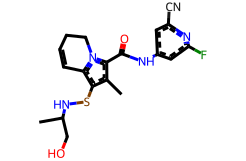 Cc1c(SNC(C)CO)c2n(c1C(=O)Nc1cc(F)nc(C#N)c1)CCC=C2